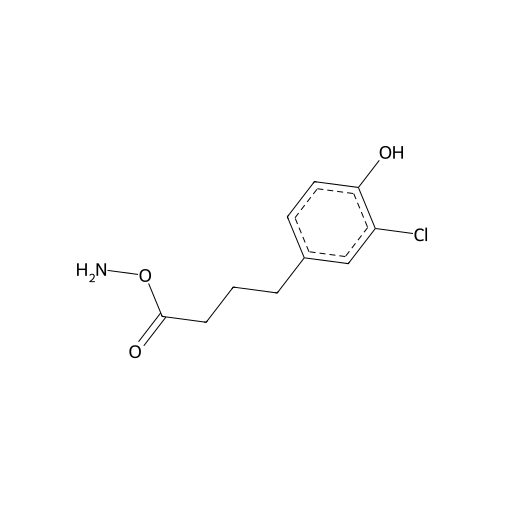 NOC(=O)CCCc1ccc(O)c(Cl)c1